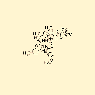 C=C[C@@H]1C[C@]1(NC(=O)[C@@H]1C[C@@H](Oc2nccc3cc(OC)ccc23)CN1C(=O)[C@@H](NC(=O)CO[C@H]1C[C@@H](C)CC[C@@H]1C(C)C)C(C)(C)C)C(=O)NS(=O)(=O)C1CC1